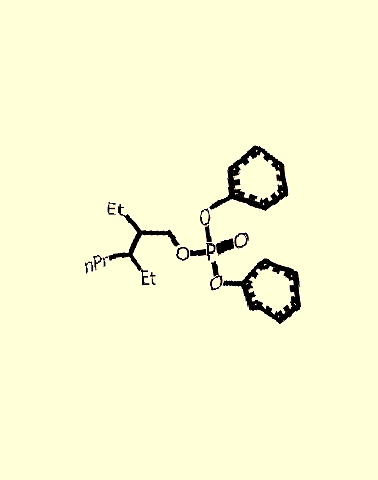 CCCC(CC)C(CC)COP(=O)(Oc1ccccc1)Oc1ccccc1